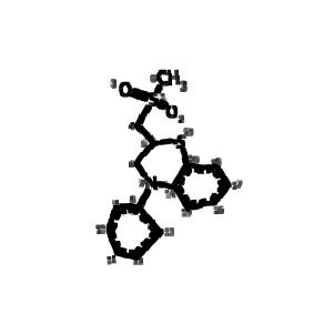 CS(=O)(=O)CC1CN(c2ccccc2)c2ccccc2S1